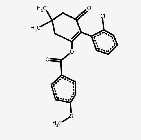 CSc1ccc(C(=O)OC2=C(c3ccccc3Cl)C(=O)CC(C)(C)C2)cc1